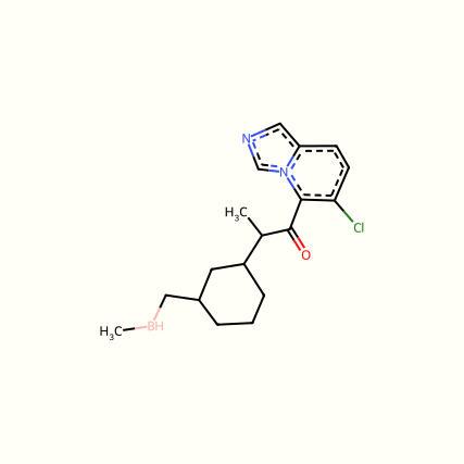 CBCC1CCCC(C(C)C(=O)c2c(Cl)ccc3cncn23)C1